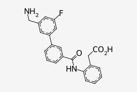 NCc1cc(F)cc(-c2cccc(C(=O)Nc3ccccc3CC(=O)O)c2)c1